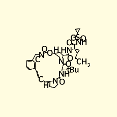 C=C[C@@H]1C[C@]1(NC(=O)[C@@H]1C[C@@H]2CN1C(=O)[C@H](C(C)(C)C)NC(=O)N1CCC[C@@H]1CC/C=C/c1cccc3c1CN(C3)C(=O)O2)C(=O)NS(=O)(=O)C1CC1